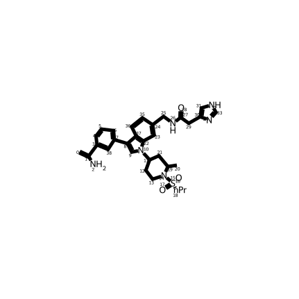 C=C(N)c1cccc(-c2cn(C3CCN(S(=O)(=O)CCC)C(C)C3)c3cc(CNC(=O)Cc4c[nH]cn4)ccc23)c1